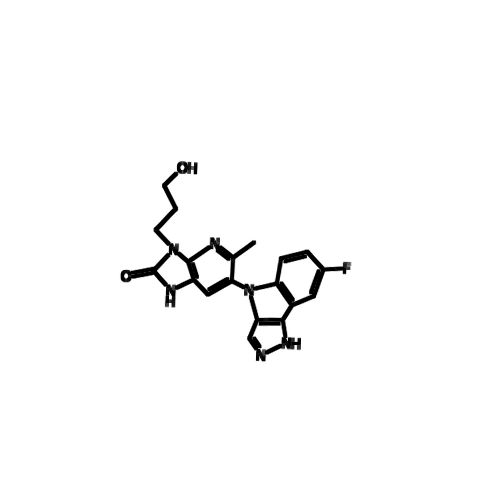 Cc1nc2c(cc1-n1c3ccc(F)cc3c3[nH]ncc31)[nH]c(=O)n2CCCO